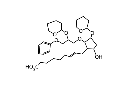 O=C(O)CCCCCC=CCC1C(O)CC(OC2CCCCO2)C1OCC(COc1ccccc1)OC1CCCCO1